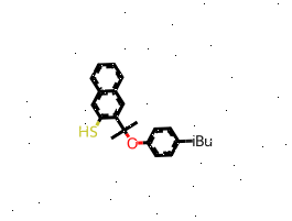 CCC(C)c1ccc(OC(C)(C)c2cc3ccccc3cc2S)cc1